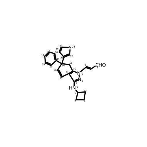 O=CC=Cn1nc(NC2CCC2)c2c1CC(c1ccccc1)(c1ccsc1)C=C2